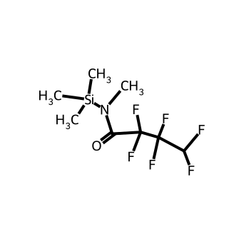 CN(C(=O)C(F)(F)C(F)(F)C(F)F)[Si](C)(C)C